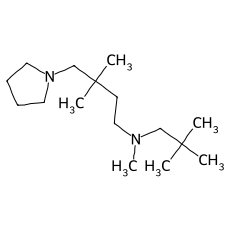 CN(CCC(C)(C)CN1CCCC1)CC(C)(C)C